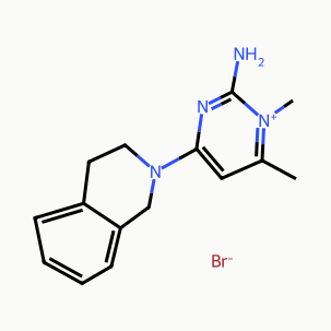 Cc1cc(N2CCc3ccccc3C2)nc(N)[n+]1C.[Br-]